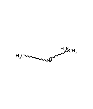 CCCCCCCCCCCCCCCn1cc[n+](CCCCCCCCCCC(C)C)c1